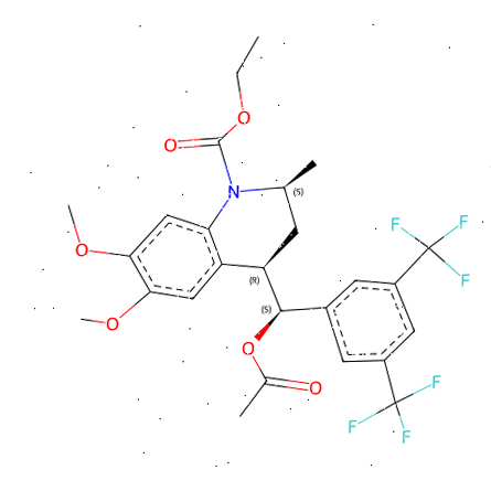 CCOC(=O)N1c2cc(OC)c(OC)cc2[C@H]([C@H](OC(C)=O)c2cc(C(F)(F)F)cc(C(F)(F)F)c2)C[C@@H]1C